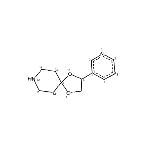 [c]1ncccc1C1COC2(CCNCC2)O1